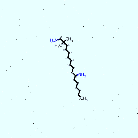 CCCCCCC(N)CCCCCCCCC(C)(C)CN